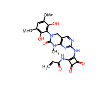 C=CC(=O)Nc1c(Nc2ncc3c(n2)N(C)C(=O)N(c2c(O)c(OC)cc(OC)c2O)C3)c(=O)c1=O